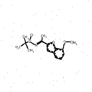 COc1cccc2cc(C(C)=N[S+]([O-])C(C)(C)C)oc12